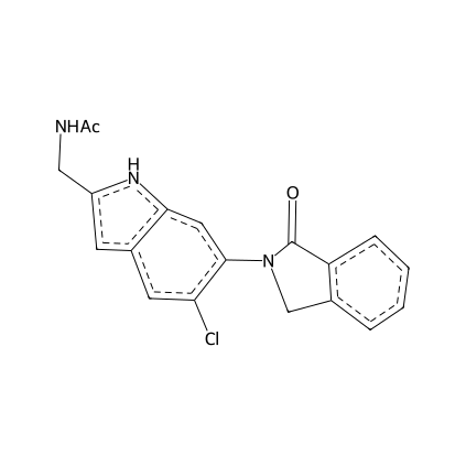 CC(=O)NCc1cc2cc(Cl)c(N3Cc4ccccc4C3=O)cc2[nH]1